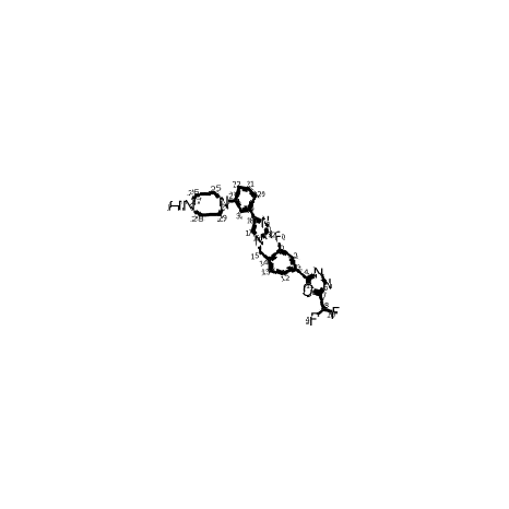 Fc1cc(-c2nnc(C(F)F)o2)ccc1Cn1cc(-c2cccc(N3CCNCC3)c2)nn1